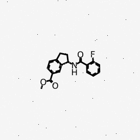 COC(=O)c1ccc2c(c1)C(NC(=O)c1ccccc1F)CC2